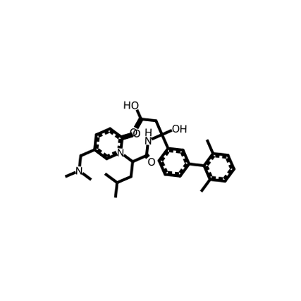 Cc1cccc(C)c1-c1cccc(C(O)(CC(=O)O)NC(=O)C(CC(C)C)n2cc(CN(C)C)ccc2=O)c1